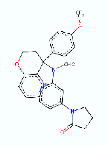 O=CN(c1cccc(N2CCCC2=O)c1)C1(c2ccc(OC(F)(F)F)cc2)CCOc2cccnc21